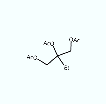 CCC(COC(C)=O)(COC(C)=O)OC(C)=O